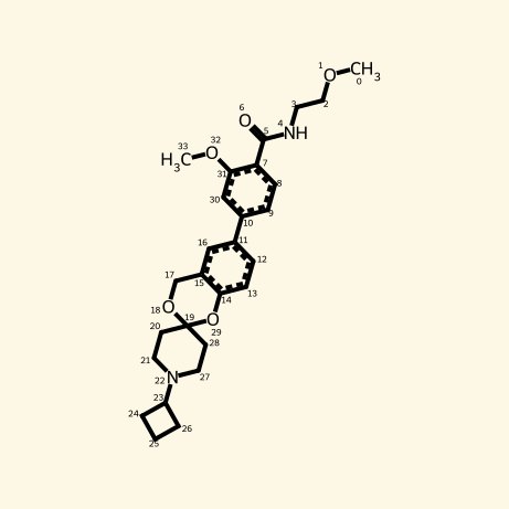 COCCNC(=O)c1ccc(-c2ccc3c(c2)COC2(CCN(C4CCC4)CC2)O3)cc1OC